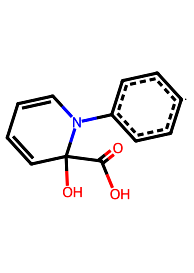 O=C(O)C1(O)C=CC=CN1c1cc[c]cc1